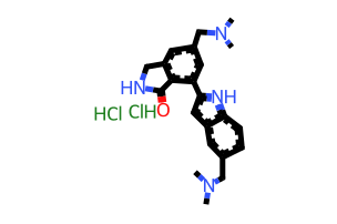 CN(C)Cc1cc2c(c(-c3cc4cc(CN(C)C)ccc4[nH]3)c1)C(=O)NC2.Cl.Cl